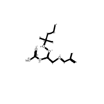 C=C(C)COCC(OOC(C)(C)CCC)OC(=O)O